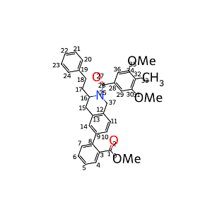 COC(=O)c1ccccc1-c1ccc2c(c1)CC(CCc1ccccc1)N(C(=O)c1cc(OC)c(C)c(OC)c1)C2